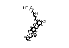 O=C(O)CCNCCCc1cc(Cl)ccc1Oc1cc(F)c(S(=O)(=O)Nc2nccs2)cc1F